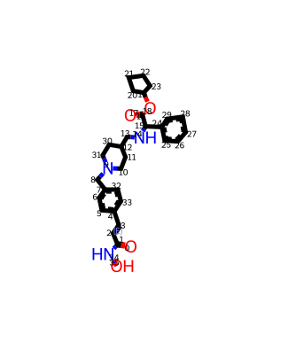 O=C(/C=C/c1ccc(CN2CCC(CNC(C(=O)OC3CCCC3)c3ccccc3)CC2)cc1)NO